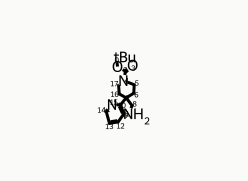 CC(C)(C)OC(=O)N1CCC(CN)(c2ccccn2)CC1